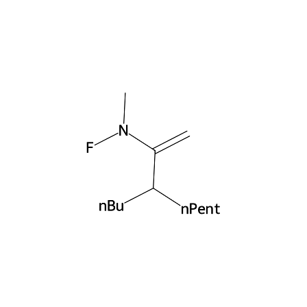 C=C(C(CCCC)CCCCC)N(C)F